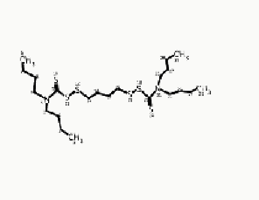 CCCCN(CCCC)C(=S)SSCCCCSSC(=S)N(CCCC)CCCC